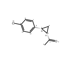 CC(=O)[C@H]1C[C@H]1c1ccc(Cl)cc1